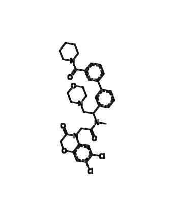 CN(C(=O)CN1C(=O)COc2cc(Cl)c(Cl)cc21)C(CN1CCOCC1)c1cccc(-c2cccc(C(=O)N3CCCCC3)c2)c1